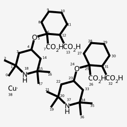 CC1(C)CC(OC2(C(=O)O)CCCCC2C(=O)O)CC(C)(C)N1.CC1(C)CC(OC2(C(=O)O)CCCCC2C(=O)O)CC(C)(C)N1.[Cu]